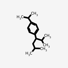 CC(C)CC(c1ccc(C(C)C)cc1)C(C)C